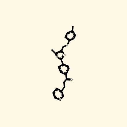 Cc1ccc(SCc2nc(-c3ccc(C(=O)CCc4cccnc4)cc3)oc2C)cc1